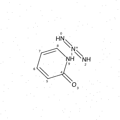 N=[N+]=N.O=c1cccc[nH]1